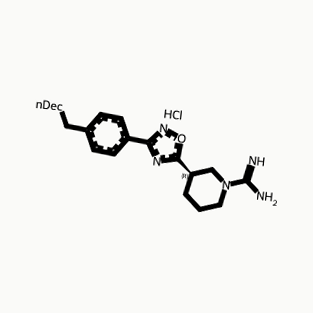 CCCCCCCCCCCc1ccc(-c2noc([C@@H]3CCCN(C(=N)N)C3)n2)cc1.Cl